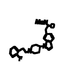 CNC(=O)Cc1ccc2ccn(C3CCN(CCc4ccccc4F)CC3)c2c1